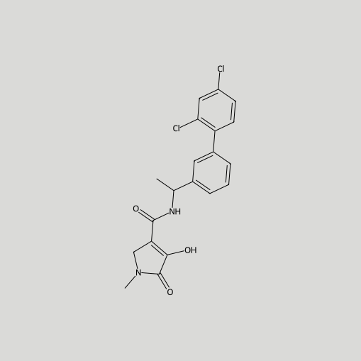 CC(NC(=O)C1=C(O)C(=O)N(C)C1)c1cccc(-c2ccc(Cl)cc2Cl)c1